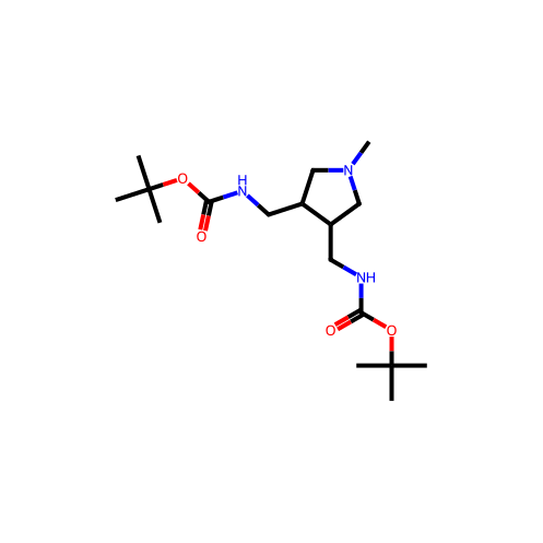 CN1CC(CNC(=O)OC(C)(C)C)C(CNC(=O)OC(C)(C)C)C1